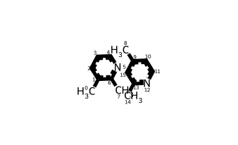 Cc1cccnc1C.Cc1ccnc(C)c1